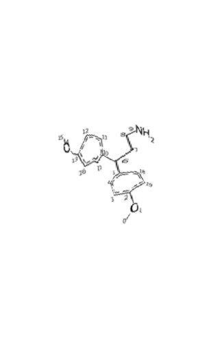 COc1ccc(C(CCN)c2ccc(OC)cc2)cc1